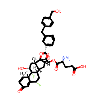 C[C@]12C=CC(=O)C=C1[C@@H](F)C[C@H]1[C@@H]3C[C@H]4O[C@@H](c5cccc(Cc6ccc(CO)cc6)c5)O[C@@]4(C(=O)COC(=O)[C@@H](N)CCC(=O)O)[C@@]3(C)C[C@H](O)[C@@]12F